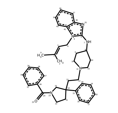 CC(C)=CCn1c(NC2CCN(CCC3(c4ccccc4)CCN(C(=O)c4ccccc4)C3)CC2)nc2ccccc21